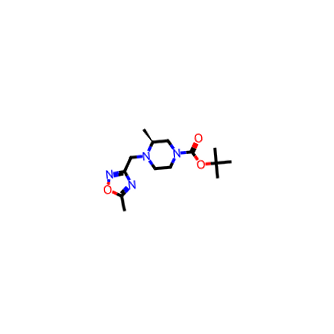 Cc1nc(CN2CCN(C(=O)OC(C)(C)C)C[C@@H]2C)no1